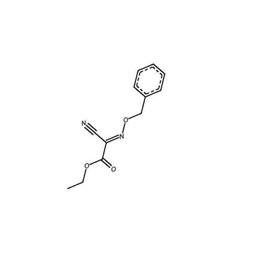 CCOC(=O)/C(C#N)=N/OCc1ccccc1